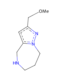 COCc1cc2n(n1)CCCNC2